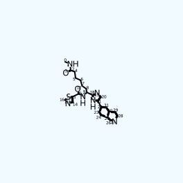 CNC(=O)CCCCCC(NC(=O)c1cncs1)c1ncc(-c2ccc3cnccc3c2)[nH]1